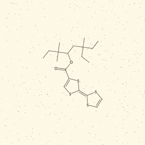 CCC(C)(CC)CC(OC(=O)C1=CSC(=C2SC=CS2)S1)C(C)(C)CC